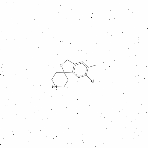 Cc1cc2c(cc1Cl)C1(CCNCC1)OC2